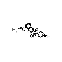 CCOc1cccc2c1OC(O)C(S(=O)(=O)N1CCN(C)CC1)=C2